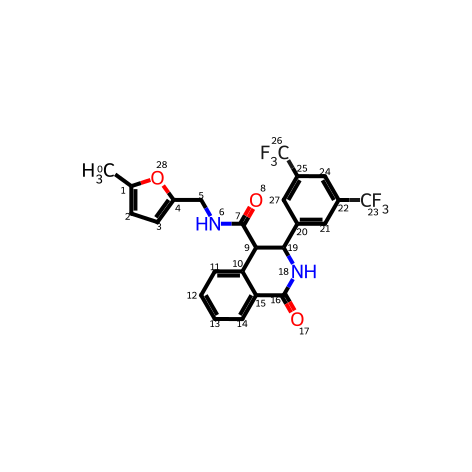 Cc1ccc(CNC(=O)C2c3ccccc3C(=O)NC2c2cc(C(F)(F)F)cc(C(F)(F)F)c2)o1